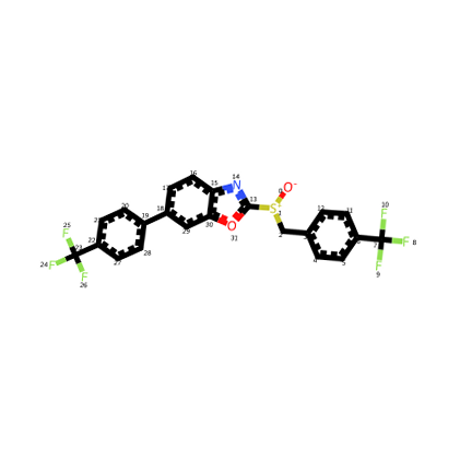 [O-][S+](Cc1ccc(C(F)(F)F)cc1)c1nc2ccc(-c3ccc(C(F)(F)F)cc3)cc2o1